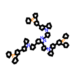 c1ccc(-p2c3ccccc3c3cc(-c4ccc5c(c4)c4ccccc4n5-c4cccc(-c5ccc6nc(-c7cccc(-n8c9ccccc9c9cc(-c%10ccc%11c(c%10)c%10ccccc%10p%11-c%10ccccc%10)ccc98)c7)nc(-c7cccc(-n8c9ccccc9c9cc(-c%10ccc%11c(c%10)c%10ccccc%10p%11-c%10ccccc%10)ccc98)c7)c6c5)c4)ccc32)cc1